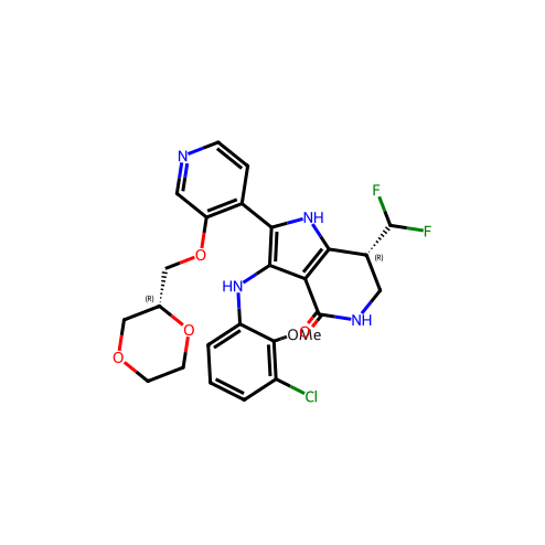 COc1c(Cl)cccc1Nc1c(-c2ccncc2OC[C@H]2COCCO2)[nH]c2c1C(=O)NC[C@H]2C(F)F